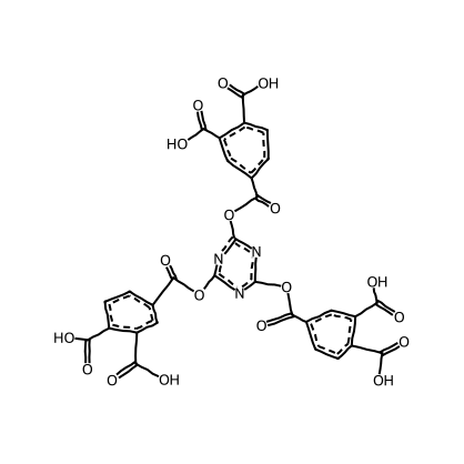 O=C(Oc1nc(OC(=O)c2ccc(C(=O)O)c(C(=O)O)c2)nc(OC(=O)c2ccc(C(=O)O)c(C(=O)O)c2)n1)c1ccc(C(=O)O)c(C(=O)O)c1